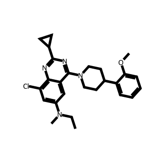 CCN(C)c1cc(Cl)c2nc(C3CC3)nc(N3CCC(c4ccccc4OC)CC3)c2c1